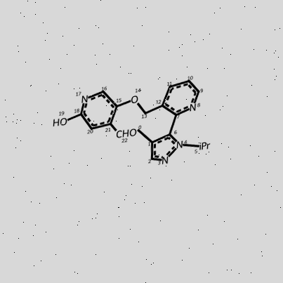 Cc1cnn(C(C)C)c1-c1ncccc1COc1cnc(O)cc1C=O